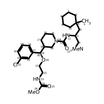 CNCC(CC1(C)CCCCC1)NC(=O)N1CCCC([C@@H](OCCNC(=O)OC)c2cccc(Cl)c2)C1